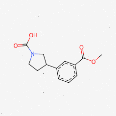 COC(=O)c1cccc(C2CCN(C(=O)O)C2)c1